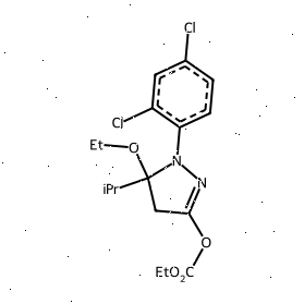 CCOC(=O)OC1=NN(c2ccc(Cl)cc2Cl)C(OCC)(C(C)C)C1